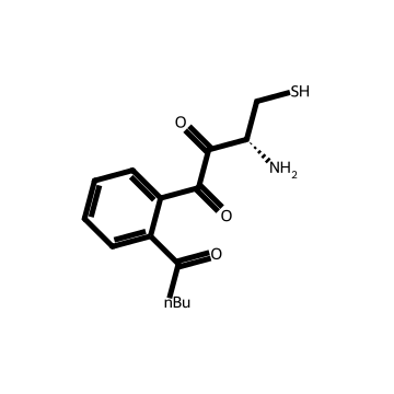 CCCCC(=O)c1ccccc1C(=O)C(=O)[C@@H](N)CS